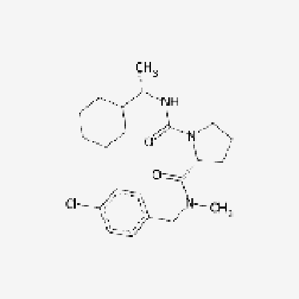 C[C@H](NC(=O)N1CCC[C@@H]1C(=O)N(C)Cc1ccc(Cl)cc1)C1CCCCC1